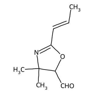 CC=CC1=NC(C)(C)C(C=O)O1